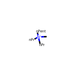 CCCCC[N+](C)(CCC)CCC